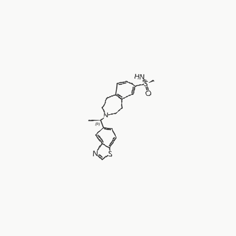 C[C@H](c1ccc2scnc2c1)N1CCc2ccc([S@](C)(=N)=O)cc2CC1